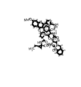 C=CC1C[C@]1(NC(=O)[C@@H]1C[C@@H](Oc2cc(-c3csc(NC(C)C)n3)nc3cc(OC)ccc23)CN1C(=O)[C@@H](NC(=O)N[C@H](C(=O)N1Cc2ccccc2S1(=O)=O)C(C)(C)C)C1(C)CCCCC1)C(=O)O